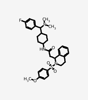 COc1ccc(S(=O)(=O)N2CCc3ccccc3C2CC(=O)NC2CCC(C(c3ccc(F)cc3)N(C)C)CC2)cc1